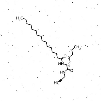 C#CCNC(=O)[C@@H](CSC[CH][CH2])NC(=O)CCCCCCCCCCCCCCC